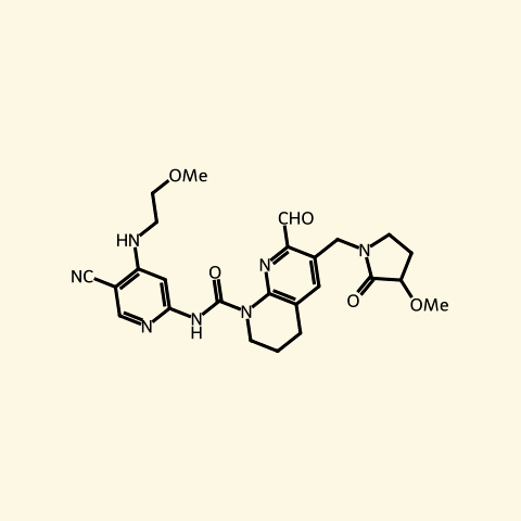 COCCNc1cc(NC(=O)N2CCCc3cc(CN4CCC(OC)C4=O)c(C=O)nc32)ncc1C#N